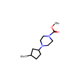 COC1CCC(N2CCN(C(=O)OC(C)(C)C)CC2)C1